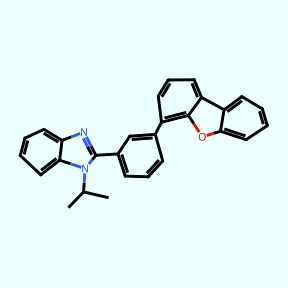 CC(C)n1c(-c2cccc(-c3cccc4c3oc3ccccc34)c2)nc2ccccc21